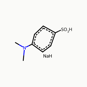 CN(C)c1ccc(S(=O)(=O)O)cc1.[NaH]